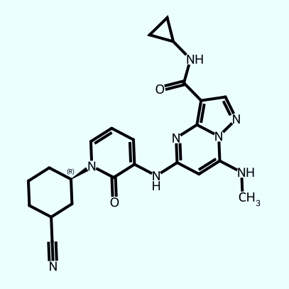 CNc1cc(Nc2cccn([C@@H]3CCCC(C#N)C3)c2=O)nc2c(C(=O)NC3CC3)cnn12